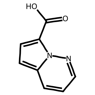 O=C(O)c1ccc2cccnn12